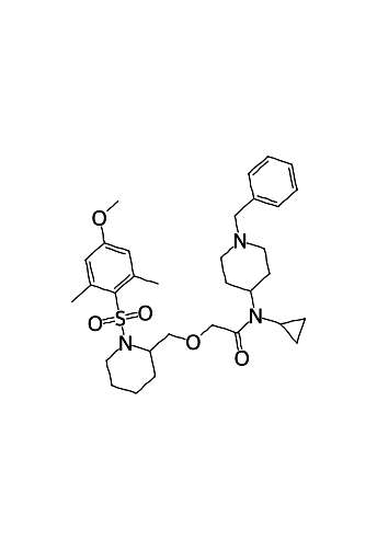 COc1cc(C)c(S(=O)(=O)N2CCCCC2COCC(=O)N(C2CC2)C2CCN(Cc3ccccc3)CC2)c(C)c1